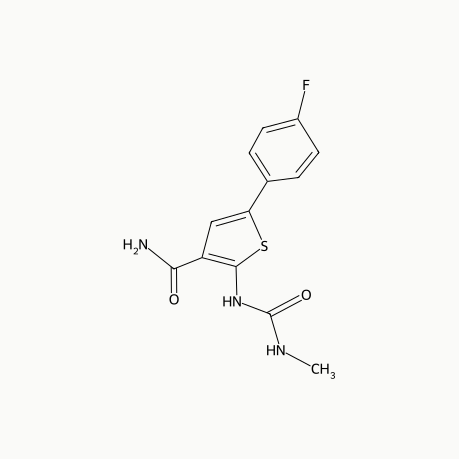 CNC(=O)Nc1sc(-c2ccc(F)cc2)cc1C(N)=O